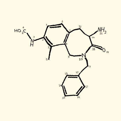 Cc1c(NC(=O)O)ccc2c1CN(Cc1ccccc1)C(=O)C(N)C2